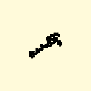 C=C(C)CNCCOC(=O)NCc1ccc(Cn2c(-c3cnsc3)nc3c(N)nc4ccccc4c32)cc1